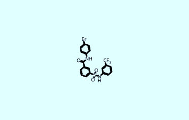 O=C(Nc1ccc(Br)cc1)c1cccc(S(=O)(=O)Nc2cccc(C(F)(F)F)c2)c1